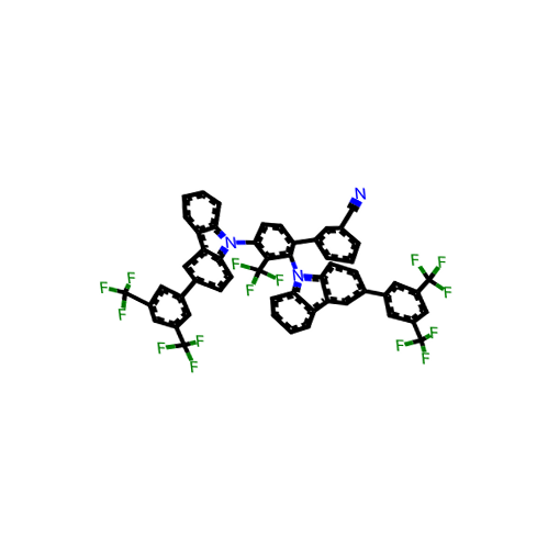 N#Cc1cccc(-c2ccc(-n3c4ccccc4c4cc(-c5cc(C(F)(F)F)cc(C(F)(F)F)c5)ccc43)c(C(F)(F)F)c2-n2c3ccccc3c3cc(-c4cc(C(F)(F)F)cc(C(F)(F)F)c4)ccc32)c1